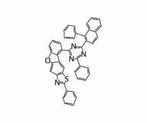 c1ccc(-c2nc(-c3ccc4ccccc4c3-c3ccccc3)nc(-c3cccc4oc5cc6nc(-c7ccccc7)sc6cc5c34)n2)cc1